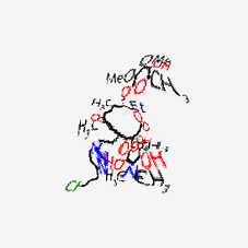 CC[C@H]1OC(=O)C[C@@H](O)[C@H](C)[C@@H](O[C@@H]2O[C@H](C)[C@@H](O)C(N(C)C)C2O)[C@@H](CCN2C=CC(CCCCl)N=N2)C[C@@H](C)C(=O)/C=C/C(C)=C/[C@@H]1CCO[C@@H]1OC(C)[C@@H](O)[C@H](OC)C1OC